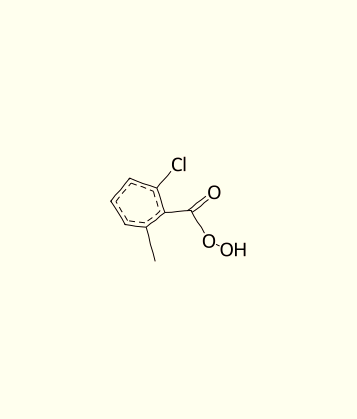 Cc1cccc(Cl)c1C(=O)OO